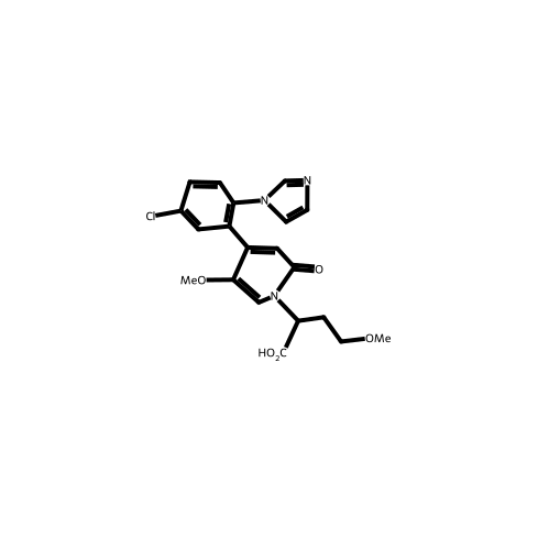 COCCC(C(=O)O)n1cc(OC)c(-c2cc(Cl)ccc2-n2ccnc2)cc1=O